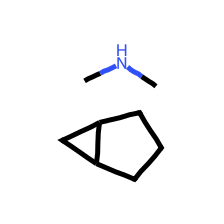 C1CC2CC2C1.CNC